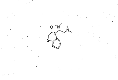 CN(C)CC(N(C)C)N1C(=O)CSc2ccccc21